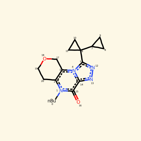 CCCCn1c2c(n3c(C4(C5CC5)CC4)nnc3c1=O)COCC2